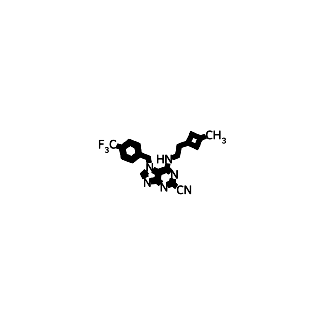 CC1CC(CCNc2nc(C#N)nc3ncn(Cc4ccc(C(F)(F)F)cc4)c23)C1